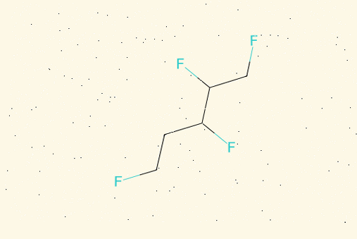 FCCC(F)C(F)CF